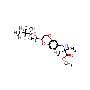 COC(=O)C(C)(C)Nc1ccc2c(c1)OCC(CO[Si](C)(C)C(C)(C)C)O2